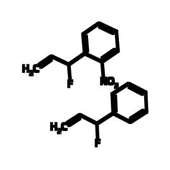 C=CC(F)c1ccccc1.C=CC(F)c1ccccc1[N+](=O)[O-]